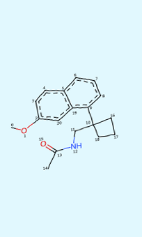 COc1ccc2cccc(C3(CNC(C)=O)CCC3)c2c1